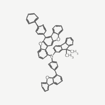 CC1(C)c2ccccc2-c2ccc(N(c3ccc(-c4cccc5c4oc4ccccc45)cc3)c3cccc4oc5c(-c6ccc(-c7ccccc7)cc6)c6c(cc5c34)oc3ccccc36)cc21